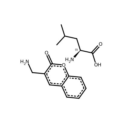 CC(C)C[C@H](N)C(=O)O.NCc1cc2ccccc2oc1=O